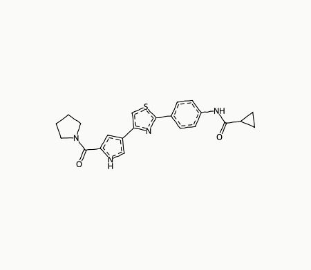 O=C(Nc1ccc(-c2nc(-c3c[nH]c(C(=O)N4CCCC4)c3)cs2)cc1)C1CC1